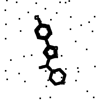 CC(c1cc(-c2ccc(Cl)cc2)on1)N1CC[N]CC1